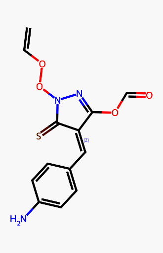 C=COON1N=C(OC=O)/C(=C/c2ccc(N)cc2)C1=S